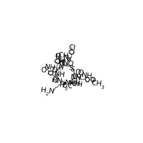 COc1ccc(CC(NC(=O)[C@@H]2CSSC[C@@H](NC(=O)[C@@H](N)Cc3ccc(Cl)cc3)C(=O)N[C@@H](Cc3ccc(OC)cc3)C(=O)N[C@H](Cc3ccc(C(N)=O)cc3)C(=O)N[C@@H](CCCCCN)C(=O)N[C@@H]([C@@H](C)O)C(=O)N2)C(N)=O)cc1